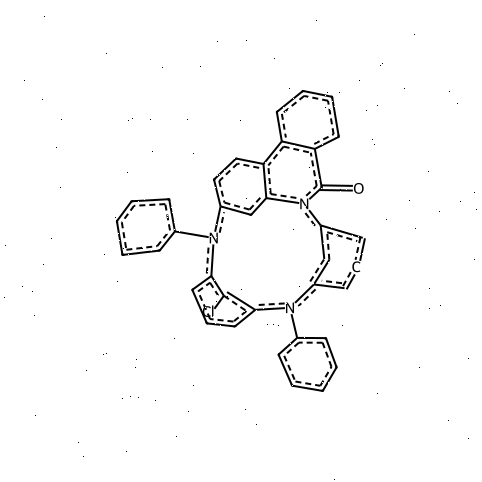 O=c1c2ccccc2c2ccc3cc2n1c1cccc(c1)n(-c1ccccc1)c1cccc(c1Cl)n3-c1ccccc1